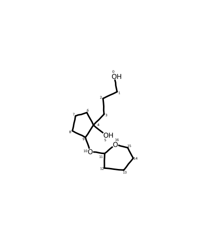 OCCCC1(O)CCCC1OC1CCCCO1